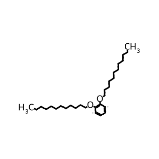 CCCCCCCCCCCCOc1[c]cc[c]c1OCCCCCCCCCCCC